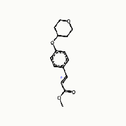 COC(=O)/C=C/c1ccc(OC2CCOCC2)cc1